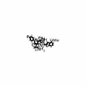 COc1cccc2oc(C(=O)NCC(O)(c3cc4c(c(-c5ccc(F)cc5)n3)OC[C@]4(C)C(N)=O)C(F)(F)F)cc12